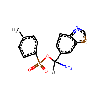 CCC(N)(OS(=O)(=O)c1ccc(C)cc1)c1ccc2ncsc2c1